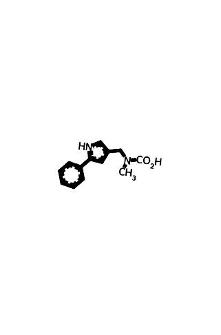 CN(Cc1c[nH]c(-c2ccccc2)c1)C(=O)O